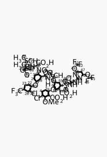 COc1c(Cl)ccc(Cl)c1C(=O)O.CS(=O)(=O)NC(=O)c1cc(Oc2ccc(C(F)(F)F)cc2Cl)ccc1[N+](=O)[O-].C[S+](C)C.O=C(Nc1nc(OC(F)F)cc(OC(F)F)n1)NS(=O)(=O)c1ccccc1C(=O)O.O=C(O)CNCP(=O)([O-])O